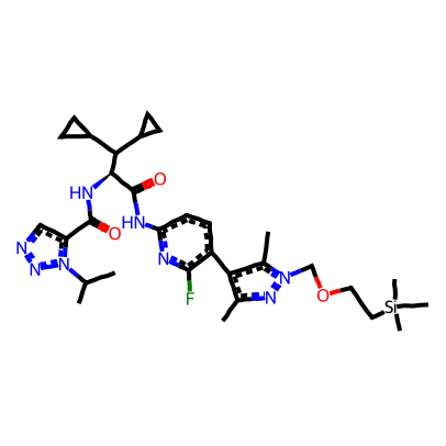 Cc1nn(COCC[Si](C)(C)C)c(C)c1-c1ccc(NC(=O)[C@@H](NC(=O)c2cnnn2C(C)C)C(C2CC2)C2CC2)nc1F